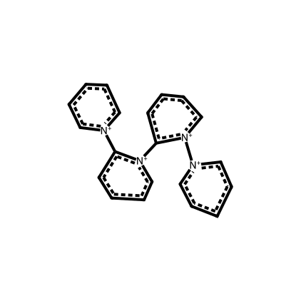 c1cc[n+](-c2cccc[n+]2-c2cccc[n+]2-[n+]2ccccc2)cc1